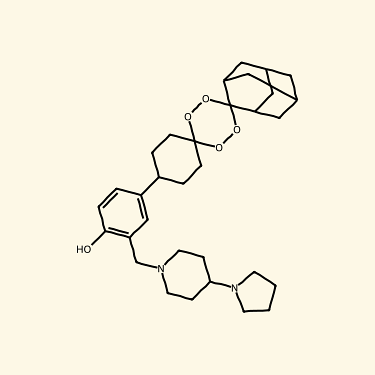 Oc1ccc(C2CCC3(CC2)OOC2(OO3)C3CC4CC(C3)CC2C4)cc1CN1CCC(N2CCCC2)CC1